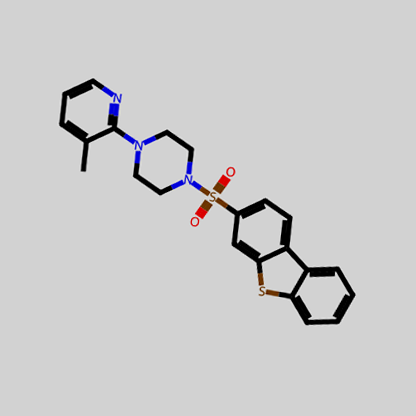 Cc1cccnc1N1CCN(S(=O)(=O)c2ccc3c(c2)sc2ccccc23)CC1